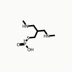 CNCC(CNC)CS[PH](=O)O